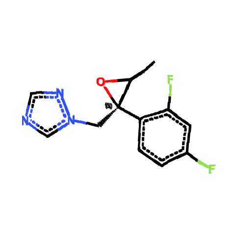 CC1O[C@]1(Cn1cncn1)c1ccc(F)cc1F